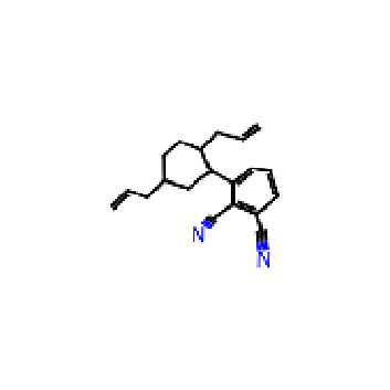 C=CCC1CCC(CC=C)C(c2cccc(C#N)c2C#N)C1